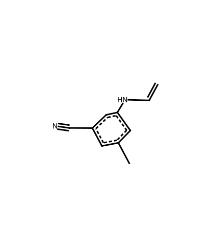 C=CNc1cc(C)cc(C#N)c1